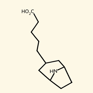 O=C(O)CCCCC1CC2CCC(C1)N2